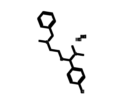 CN(CCOC(c1ccc(Cl)cc1)N(C)C)Cc1ccccc1.Cl.Cl